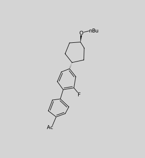 CCCCO[C@H]1CC[C@H](c2ccc(-c3ccc(C(C)=O)cc3)c(F)c2)CC1